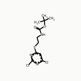 CC(C)(C)OC(=O)NCCSc1cc(Cl)nc(Cl)n1